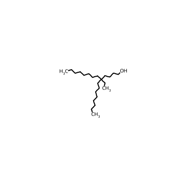 CCCCCCCCC(CC)(CCCCO)CCCCCCCC